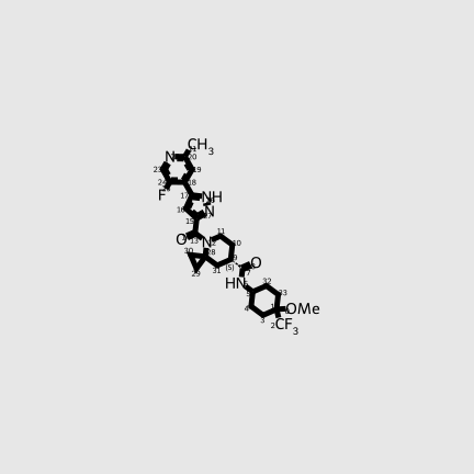 COC1(C(F)(F)F)CCC(NC(=O)[C@H]2CCN(C(=O)c3cc(-c4cc(C)ncc4F)[nH]n3)C3(CC3)C2)CC1